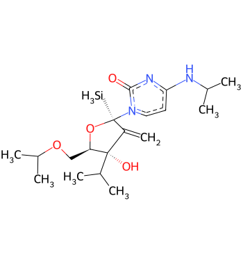 C=C1[C@@](O)(C(C)C)[C@@H](COC(C)C)O[C@@]1([SiH3])n1ccc(NC(C)C)nc1=O